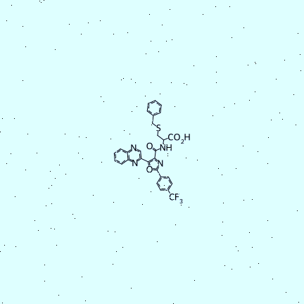 O=C(NC(CSCc1ccccc1)C(=O)O)c1nc(-c2ccc(C(F)(F)F)cc2)oc1-c1cnc2ccccc2n1